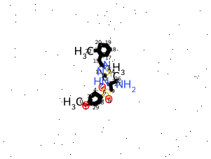 COc1ccc(S(=O)(=O)CC(Nc2nc(Cc3ccccc3C)ns2)C(C)N)cc1